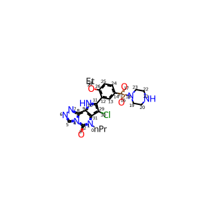 CCCn1c(=O)n2cnnc2c2[nH]c(-c3cc(S(=O)(=O)N4CCNCC4)ccc3OCC)c(Cl)c21